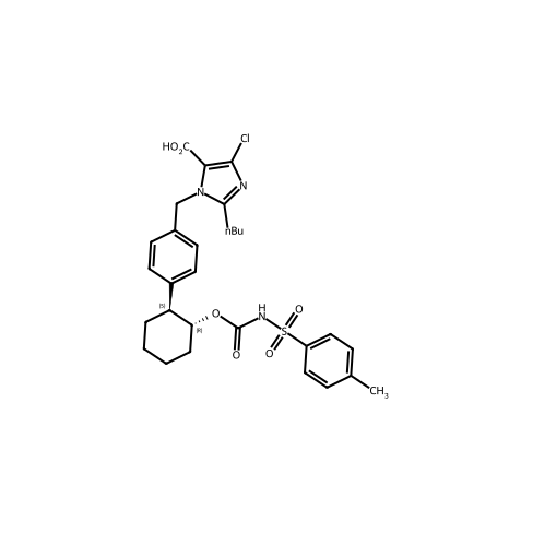 CCCCc1nc(Cl)c(C(=O)O)n1Cc1ccc([C@@H]2CCCC[C@H]2OC(=O)NS(=O)(=O)c2ccc(C)cc2)cc1